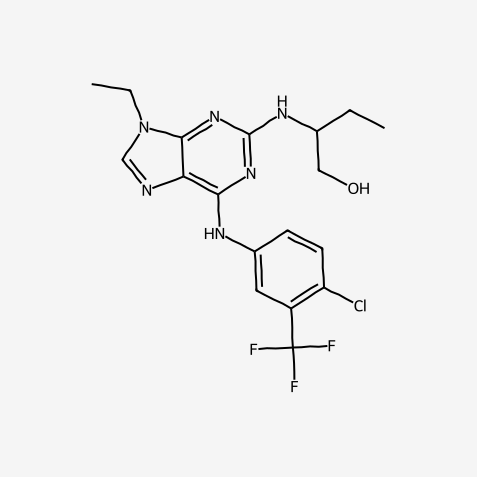 CCC(CO)Nc1nc(Nc2ccc(Cl)c(C(F)(F)F)c2)c2ncn(CC)c2n1